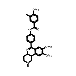 COc1ccc(C(=O)Nc2ccc(C3=NC4CCN(C)CC4c4cc(OC)c(OC)cc43)cc2)cc1C